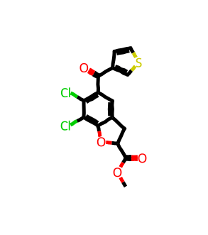 COC(=O)C1Cc2cc(C(=O)c3ccsc3)c(Cl)c(Cl)c2O1